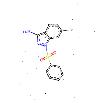 Nc1nn(S(=O)(=O)c2ccccc2)c2cc(Br)ccc12